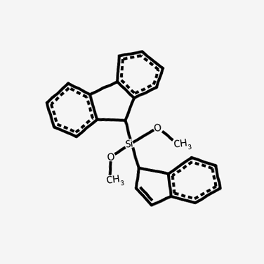 CO[Si](OC)(C1C=Cc2ccccc21)C1c2ccccc2-c2ccccc21